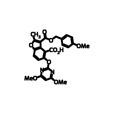 COc1ccc(COC(=O)c2c(C)oc3ccc(Oc4nc(OC)cc(OC)n4)c(C(=O)O)c23)cc1